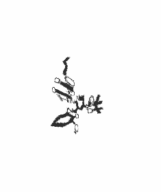 CCCCOC(=O)OC(=O)Nc1ncc(B2OC(C)(C)C(C)(C)O2)cc1-c1nc2cccc(OC)c2o1